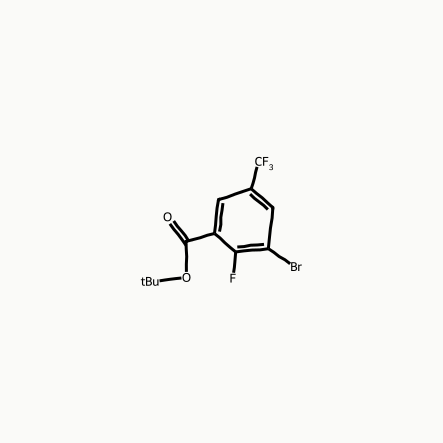 CC(C)(C)OC(=O)c1cc(C(F)(F)F)cc(Br)c1F